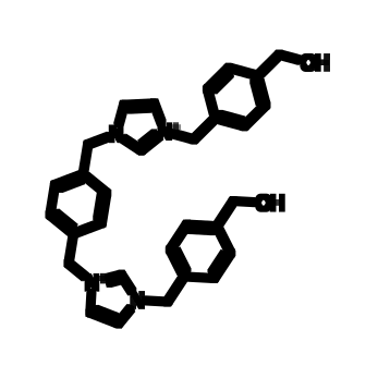 OCc1ccc(Cn2cc[n+](Cc3ccc(Cn4cc[n+](Cc5ccc(CO)cc5)c4)cc3)c2)cc1